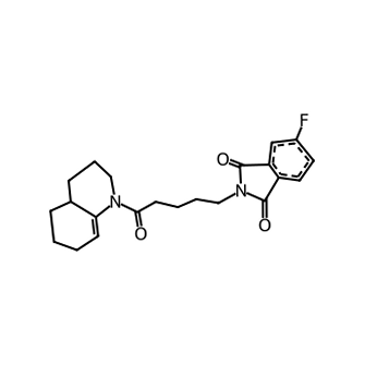 O=C(CCCCN1C(=O)c2ccc(F)cc2C1=O)N1CCCC2CCCC=C21